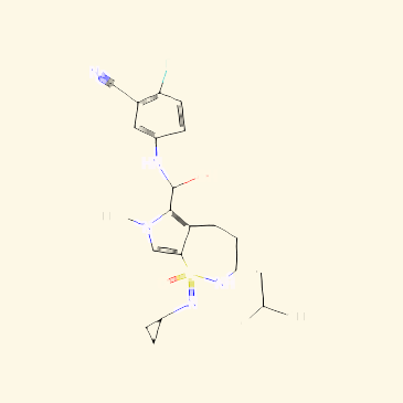 CC(C)C[C@H]1CCc2c(cn(C)c2C(O)Nc2ccc(F)c(C#N)c2)S(=O)(=NC2CC2)N1